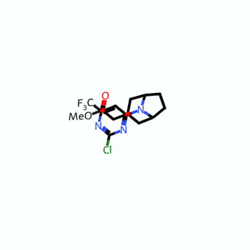 COC(=O)CC1CC2CCC(C1)N2c1cc(C(F)(F)F)nc(Cl)n1